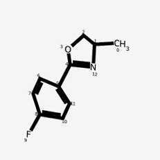 CC1COC(c2ccc(F)cc2)=N1